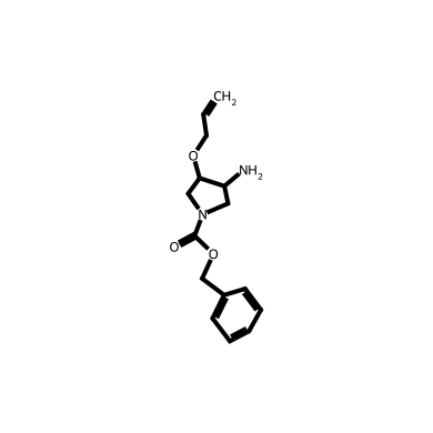 C=CCOC1CN(C(=O)OCc2ccccc2)CC1N